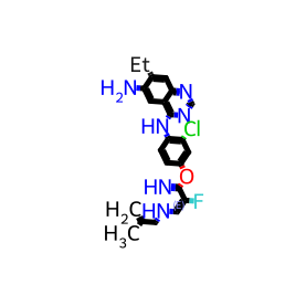 C=C(C)CN/C=C(/F)C(=N)Oc1ccc(Nc2ncnc3cc(CC)c(N)cc23)c(Cl)c1